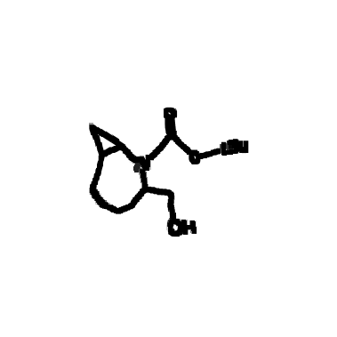 CC(C)(C)OC(=O)N1C(CO)CCC2CC21